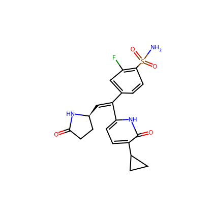 NS(=O)(=O)c1ccc(C(=C[C@H]2CCC(=O)N2)c2ccc(C3CC3)c(=O)[nH]2)cc1F